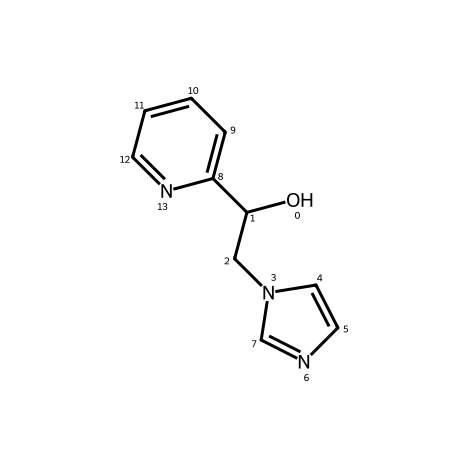 OC(Cn1ccnc1)c1ccccn1